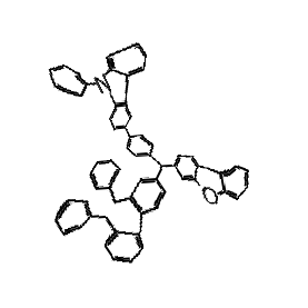 c1ccc(Cc2ccccc2-c2ccc(C(c3ccc(-c4ccc5c(c4)c4ccccc4n5-c4ccccc4)cc3)c3ccc4c(c3)oc3ccccc34)cc2Cc2ccccc2)cc1